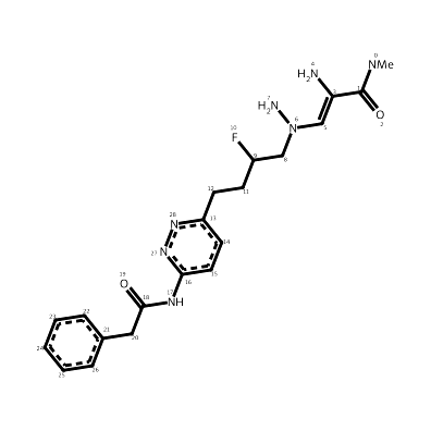 CNC(=O)/C(N)=C/N(N)CC(F)CCc1ccc(NC(=O)Cc2ccccc2)nn1